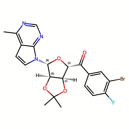 Cc1ncnc2c1ccn2[C@@H]1O[C@H](C(=O)c2ccc(F)c(Br)c2)[C@H]2OC(C)(C)O[C@H]21